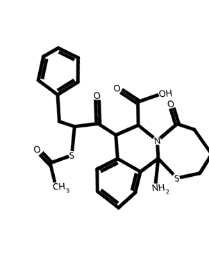 CC(=O)SC(Cc1ccccc1)C(=O)C1c2ccccc2C2(N)SCCCC(=O)N2C1C(=O)O